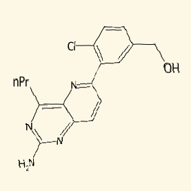 CCCc1nc(N)nc2ccc(-c3cc(CO)ccc3Cl)nc12